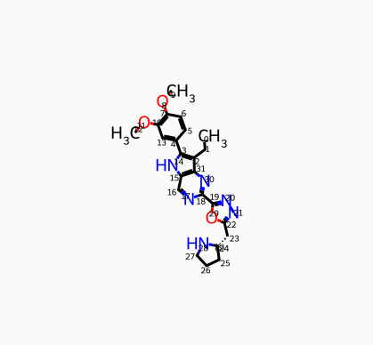 CCc1c(-c2ccc(OC)c(OC)c2)[nH]c2cnc(-c3nnc(C[C@@H]4CCCN4)o3)nc12